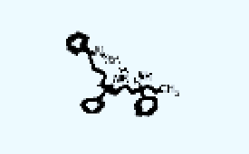 CCCC(CCCC(CCCC(N=N)c1ccccc1)(N=N)c1ccccc1)(N=N)c1ccccc1